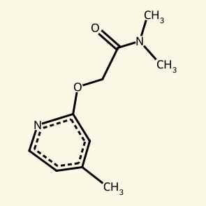 Cc1ccnc(OCC(=O)N(C)C)c1